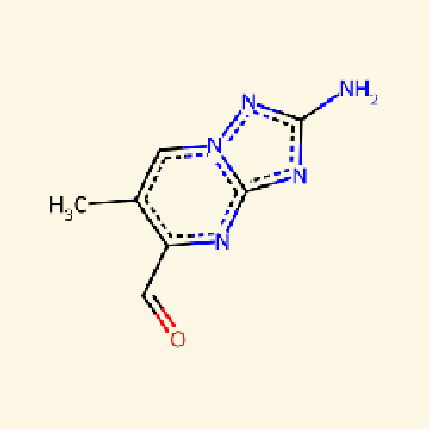 Cc1cn2nc(N)nc2nc1C=O